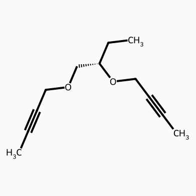 CC#CCOC[C@H](CC)OCC#CC